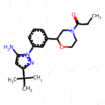 CCC(=O)N1CCOC(c2cccc(-n3nc(C(C)(C)C)cc3N)c2)C1